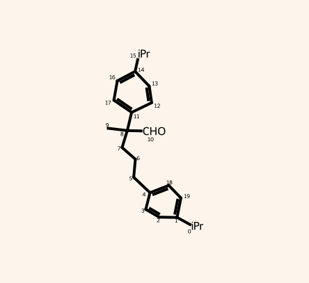 CC(C)c1ccc(CCCC(C)(C=O)c2ccc(C(C)C)cc2)cc1